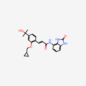 CC(C)(O)c1ccc(/C=C/C(=O)Nc2cccc3[nH]c(=O)[nH]c23)c(OCC2CC2)c1